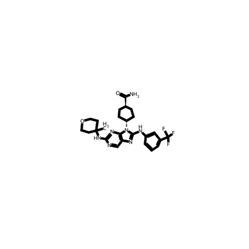 CC1(Nc2ncc3nc(Nc4cccc(C(F)(F)F)c4)n([C@H]4CC[C@H](C(N)=O)CC4)c3n2)CCOCC1